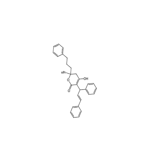 CCCC1(CCCc2ccccc2)CC(O)=C(C(C=Cc2ccccc2)c2ccccc2)C(=O)O1